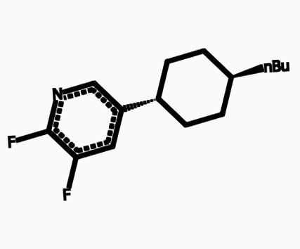 CCCC[C@H]1CC[C@H](c2cnc(F)c(F)c2)CC1